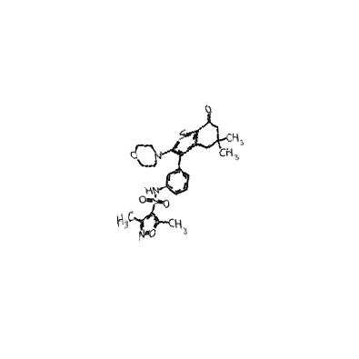 Cc1noc(C)c1S(=O)(=O)Nc1cccc(-c2c(N3CCOCC3)sc3c2CC(C)(C)CC3=O)c1